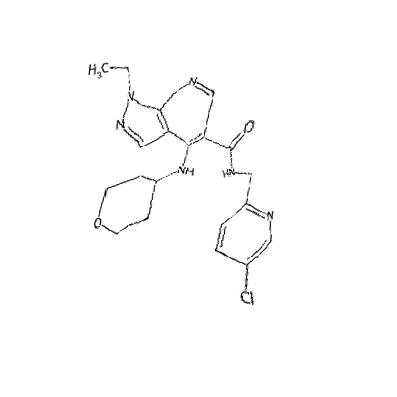 CCn1ncc2c(NC3CCOCC3)c(C(=O)NCc3ccc(Cl)cn3)cnc21